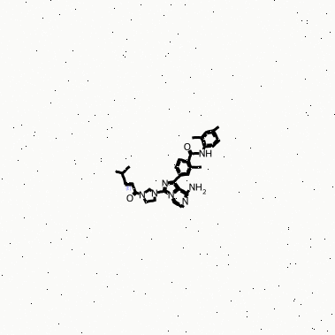 Cc1ccc(NC(=O)c2ccc(-c3nc(N4CCN(C(=O)/C=C/C(C)C)C4)n4ccnc(N)c34)cc2C)c(C)c1